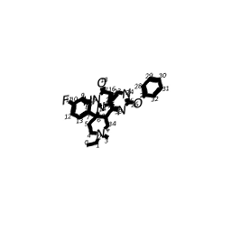 CC[N+]1(C)CCC(c2ccc(F)cc2)(n2ccc(=O)[nH]2)C(c2ccnc(Oc3ccccc3)n2)C1